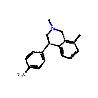 Cc1cccc2c1CN(C)CC2c1ccc(C(F)(F)F)cc1